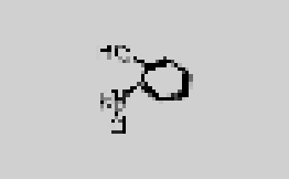 Oc1ccccc1NCl